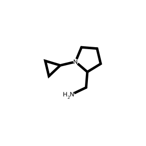 NCC1CCCN1C1CC1